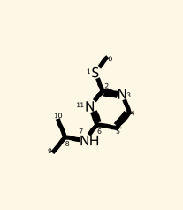 CSc1nc[c]c(NC(C)C)n1